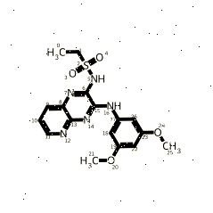 CCS(=O)(=O)Nc1nc2cccnc2nc1Nc1cc(OC)cc(OC)c1